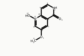 COc1cc2c(=O)[nH]ccc2[n+](O)c1